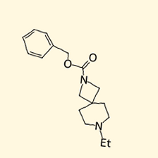 CCN1CCC2(CC1)CN(C(=O)OCc1ccccc1)C2